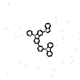 c1ccc(-n2c3ccc(-c4cccc(-n5c6ccccc6c6ccccc65)c4)cc3c3cc(-n4ccc5ccccc54)ccc32)nc1